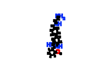 COc1ccccc1C1Nc2ccc(-c3ccc(CNCCN)cc3)cc2N1